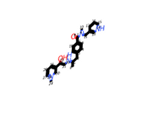 CC(Cc1ccc(C(=O)N(C)CC2=CNCC=C2)cc1)NCC(O)C1=CC=CN(C)C1